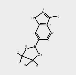 Cc1n[nH]c2cc(B3OC(C)(C)C(C)(C)O3)ccc12